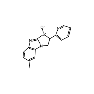 Cc1ccc2nc3n(c2c1)CC(c1ccccn1)[S+]3[O-]